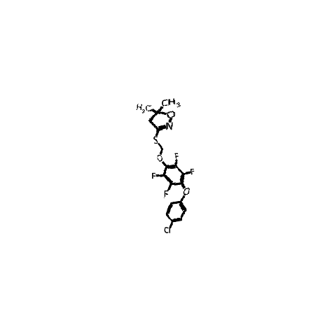 CC1(C)CC(SCOc2c(F)c(F)c(Oc3ccc(Cl)cc3)c(F)c2F)=NO1